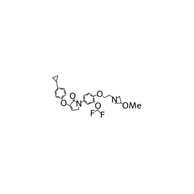 COC1CN(CCOc2ccc(N3CC=C(Oc4ccc(C5CC5)cc4)C3=O)cc2OC(F)F)C1